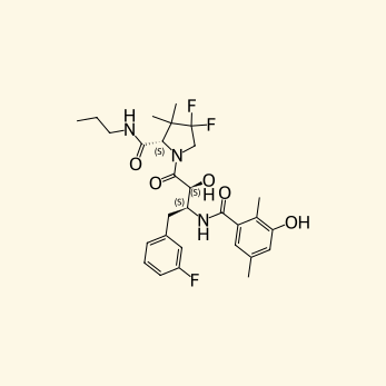 CCCNC(=O)[C@H]1N(C(=O)[C@@H](O)[C@H](Cc2cccc(F)c2)NC(=O)c2cc(C)cc(O)c2C)CC(F)(F)C1(C)C